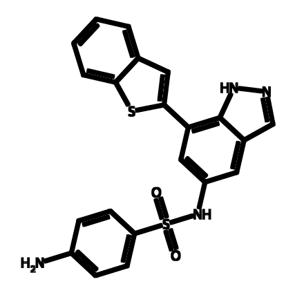 Nc1ccc(S(=O)(=O)Nc2cc(-c3cc4ccccc4s3)c3[nH]ncc3c2)cc1